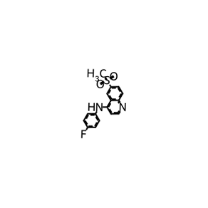 CS(=O)(=O)c1ccc2nccc(Nc3ccc(F)cc3)c2c1